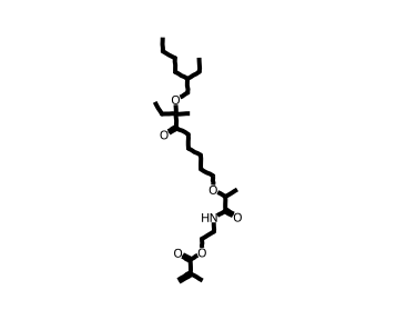 C=C(C)C(=O)OCCNC(=O)C(C)OCCCCCC(=O)C(C)(CC)OCC(CC)CCCC